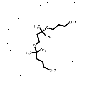 CC(C)(CCCC=O)OCCC(C)(C)OCCCC=O